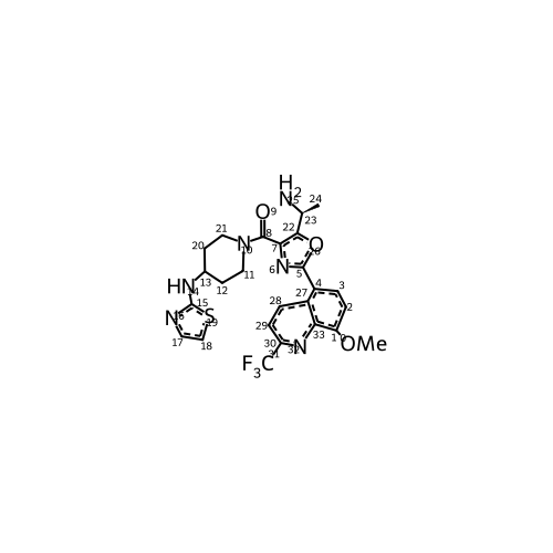 COc1ccc(-c2nc(C(=O)N3CCC(Nc4nccs4)CC3)c([C@H](C)N)o2)c2ccc(C(F)(F)F)nc12